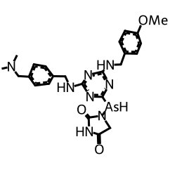 COc1ccc(CNc2nc(NCc3ccc(CN(C)C)cc3)nc([AsH]N3CC(=O)NC3=O)n2)cc1